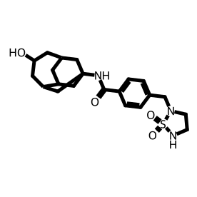 O=C(NC12CC3CC(O)CC(C1)C(C3)C2)c1ccc(CN2CCNS2(=O)=O)cc1